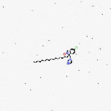 CCCCCCCCCCCCCCC1CC(Cn2ccnc2)(c2ccc(Cl)cc2)N(C)O1